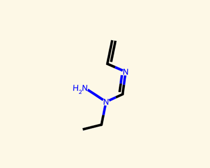 C=C/N=C\N(N)CC